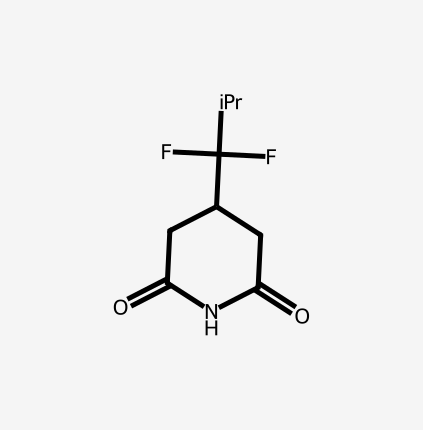 CC(C)C(F)(F)C1CC(=O)NC(=O)C1